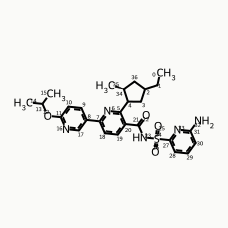 CCC1CC(c2nc(-c3ccc(OC(C)C)nc3)ccc2C(=O)NS(=O)(=O)c2cccc(N)n2)[C@@H](C)C1